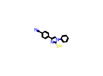 N#Cc1ccc(-c2cn(-c3ccccc3)c(S)n2)cc1